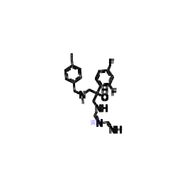 CN(Cc1ccc(I)cc1)CC(O)(CN/C=N\C=N)c1ccc(F)cc1F